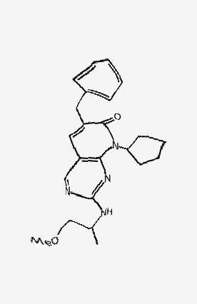 COCC(C)Nc1ncc2cc(Cc3ccccc3)c(=O)n(C3CCCC3)c2n1